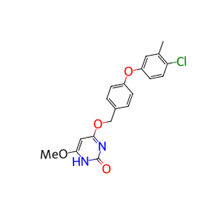 COc1cc(OCc2ccc(Oc3ccc(Cl)c(C)c3)cc2)nc(=O)[nH]1